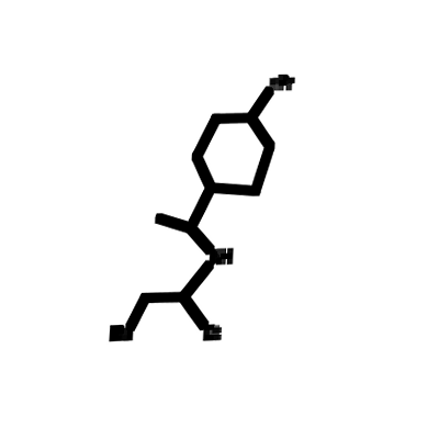 CCCC1CCC(C(C)NC(CC)CC(C)CC)CC1